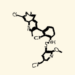 COc1ncc(Cl)cc1SNc1cccc(-c2cc3cnc(Cl)cc3nc2C)c1Cl